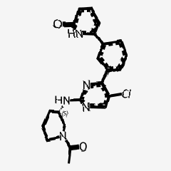 CC(=O)N1CCC[C@H](Nc2ncc(Cl)c(-c3cccc(-c4cccc(=O)[nH]4)c3)n2)C1